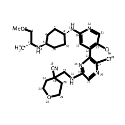 COC[C@@H](C)N[C@H]1CC[C@H](Nc2cc(-c3nc(NCC4(C#N)CCOCC4)cnc3Cl)c(Cl)cn2)CC1